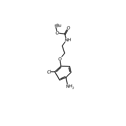 CC(C)(C)OC(=O)NCCOc1ccc(N)cc1Cl